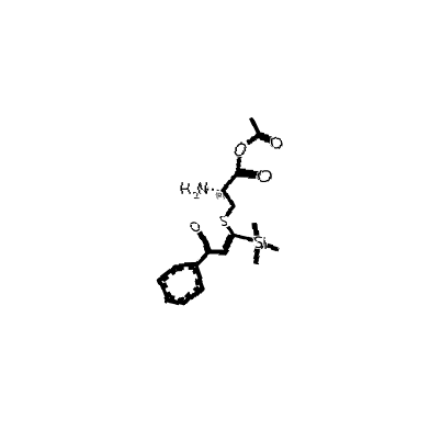 CC(=O)OC(=O)[C@@H](N)CSC(=CC(=O)c1ccccc1)[Si](C)(C)C